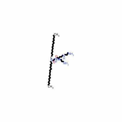 CCCCCCCCCCCCCCCCCCN(CCCCCCCCCCCCCCCCCC)C(=O)CNC(=O)C(CCCNCCCN)NCCCN